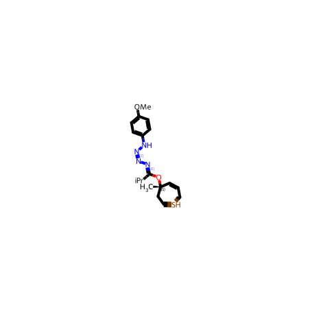 COc1ccc(N/N=N\N=C(\O[C@]2(C)C=CC=[SH]#CC2)C(C)C)cc1